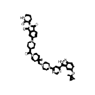 CC1(Oc2ccc3n[nH]c(-c4cc(N5CCN(CC6(F)CCN(C(=O)C7CCN(c8ccc9c(c8)C(=O)N(C8CCCNC8=O)C9=O)CC7)CC6)CC5)ncn4)c3c2)CC1